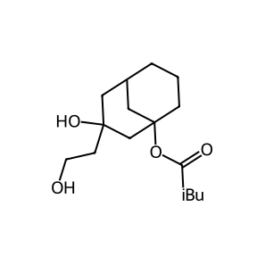 CCC(C)C(=O)OC12CCCC(CC(O)(CCO)C1)C2